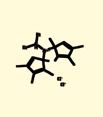 CC[SiH](CC)[Zr+2]([C]1(C)C=C(C)C(C)=C1C)[C]1(C)C=C(C)C(C)=C1C.[Cl-].[Cl-]